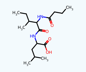 CCCC(=O)NC(C(=O)NC(CC(C)C)C(=O)O)C(C)CC